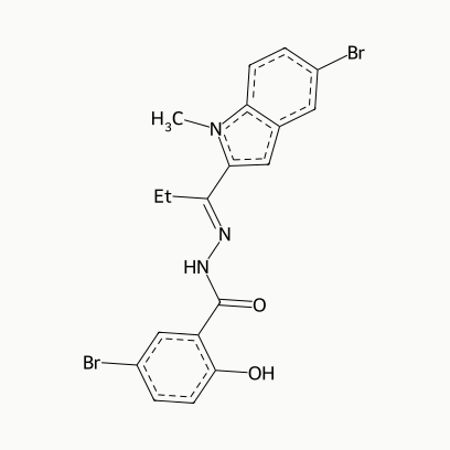 CCC(=NNC(=O)c1cc(Br)ccc1O)c1cc2cc(Br)ccc2n1C